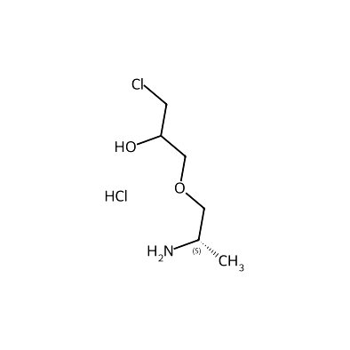 C[C@H](N)COCC(O)CCl.Cl